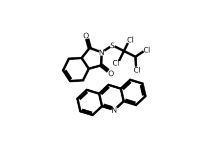 O=C1C2CC=CCC2C(=O)N1SC(Cl)(Cl)C(Cl)Cl.c1ccc2nc3ccccc3cc2c1